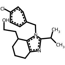 CC(C)c1nc2c(n1Cc1ccc(Cl)cc1)C(CCO)CCC2